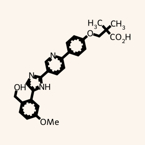 COc1ccc(CO)c(-c2cnc(-c3ccc(-c4ccc(OCC(C)(C)C(=O)O)cc4)nc3)[nH]2)c1